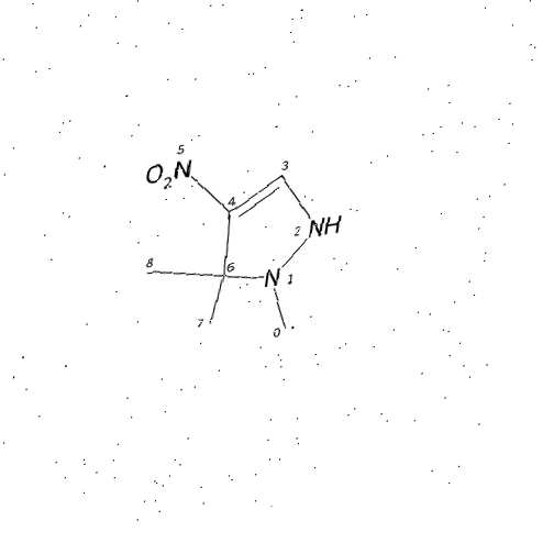 [CH2]N1NC=C([N+](=O)[O-])C1(C)C